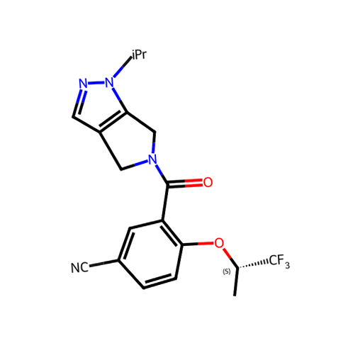 CC(C)n1ncc2c1CN(C(=O)c1cc(C#N)ccc1O[C@@H](C)C(F)(F)F)C2